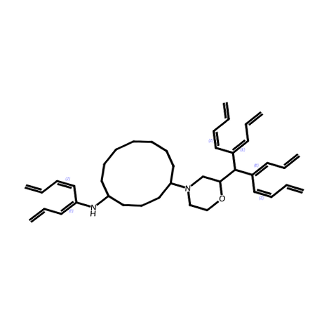 C=C/C=C\C(=C/C=C)NC1CCCCCCCC(N2CCOC(C(C(/C=C\C=C)=C/C=C)C(/C=C\C=C)=C/C=C)C2)CCC1